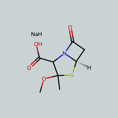 COC1(C)S[C@@H]2CC(=O)N2C1C(=O)O.[NaH]